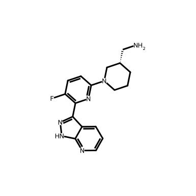 NC[C@@H]1CCCN(c2ccc(F)c(-c3n[nH]c4ncccc34)n2)C1